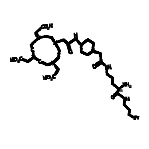 CC(C)CCCNC(=O)[C@H](N)CCCNC(=O)CN1CCC(NC(=O)CN2CCN(CC(=O)O)CCN(CC(=O)O)CCN(CC(=O)O)CC2)CC1